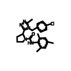 Cc1cc(C)c(NC(=O)N2CCCC2c2nnc(C)n2Cc2ccc(Cl)cc2)c(C)c1